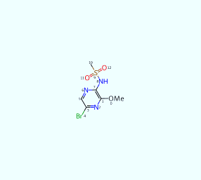 COc1nc(Br)cnc1NS(C)(=O)=O